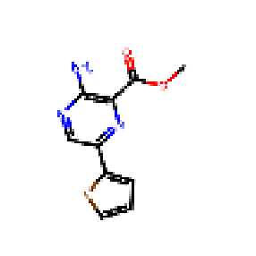 COC(=O)c1nc(-c2cccs2)cnc1N